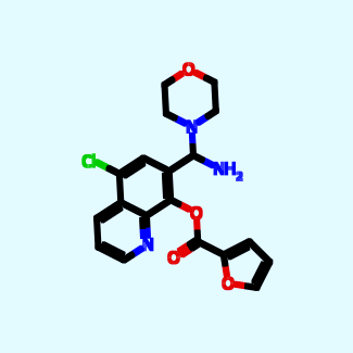 NC(c1cc(Cl)c2cccnc2c1OC(=O)c1ccco1)N1CCOCC1